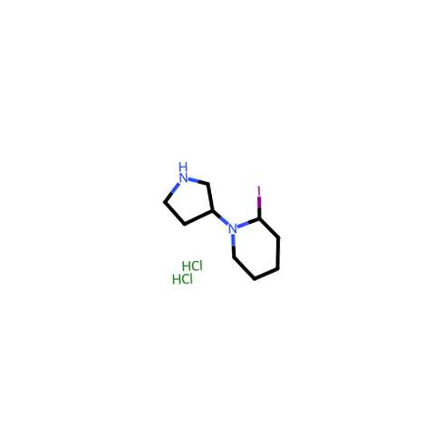 Cl.Cl.IC1CCCCN1C1CCNC1